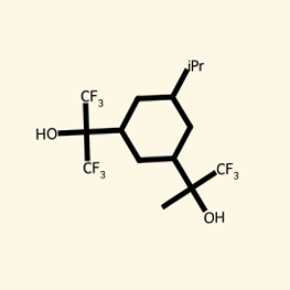 CC(C)C1CC(C(C)(O)C(F)(F)F)CC(C(O)(C(F)(F)F)C(F)(F)F)C1